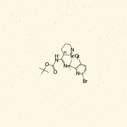 CC(C)(C)OC(=O)NC1=N[C@](C)(c2nc(Br)ccc2F)C[S@@]2(=O)=NCCC[C@]12C